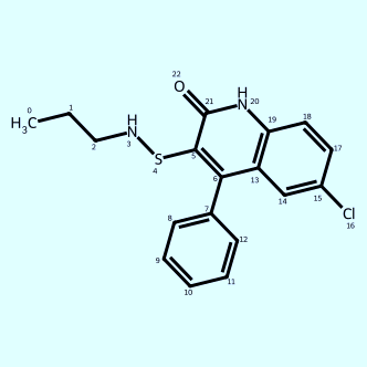 CCCNSc1c(-c2ccccc2)c2cc(Cl)ccc2[nH]c1=O